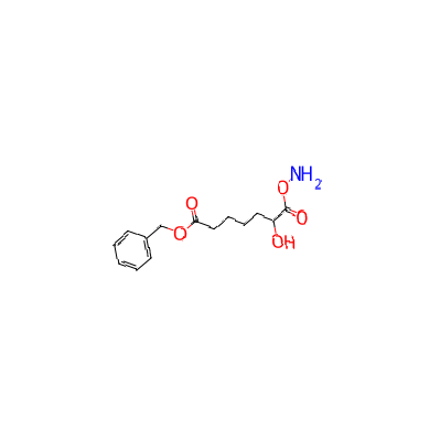 NOC(=O)C(O)CCCCC(=O)OCc1ccccc1